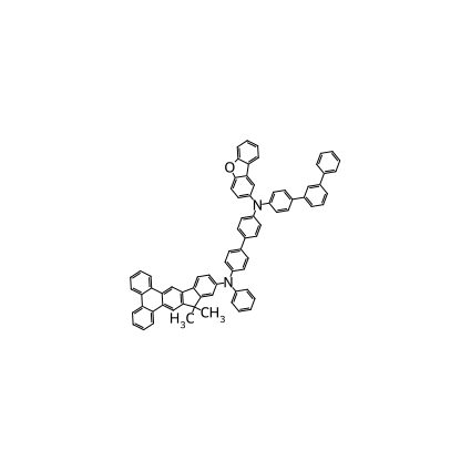 CC1(C)c2cc(N(c3ccccc3)c3ccc(-c4ccc(N(c5ccc(-c6cccc(-c7ccccc7)c6)cc5)c5ccc6oc7ccccc7c6c5)cc4)cc3)ccc2-c2cc3c4ccccc4c4ccccc4c3cc21